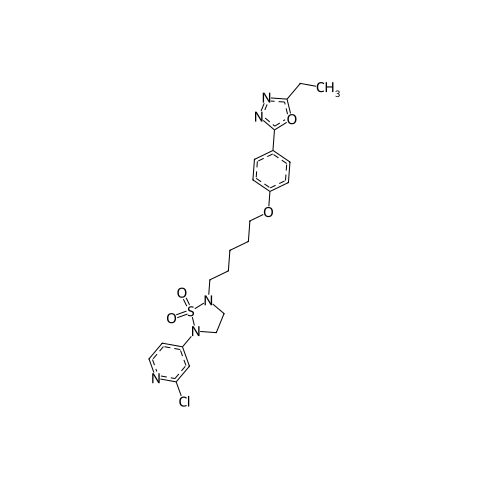 CCc1nnc(-c2ccc(OCCCCCN3CCN(c4ccnc(Cl)c4)S3(=O)=O)cc2)o1